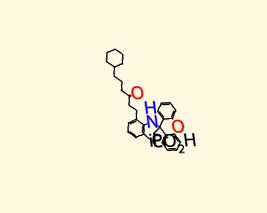 CC(C)c1cccc(CCC(=O)CCCC2CCCCC2)c1NC1(CC(=O)O)c2ccccc2Oc2ccccc21